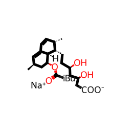 CCC(C)C(=O)O[C@H]1C[C@@H](C)C=C2C=C[C@H](C)[C@H](CC[C@@H](O)C[C@@H](O)CC(=O)[O-])[C@H]21.[Na+]